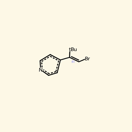 CC(C)(C)/C(=C\Br)c1ccncc1